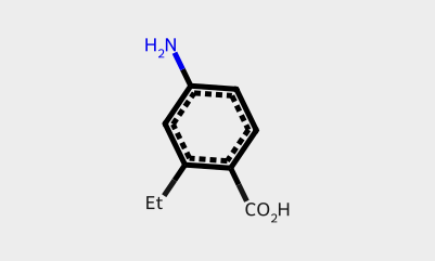 CCc1cc(N)ccc1C(=O)O